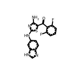 Nc1nc(Nc2ccc3nc[nH]c3c2)sc1C(=O)c1c(F)cccc1F